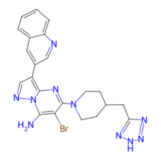 Nc1c(Br)c(N2CCC(Cc3nn[nH]n3)CC2)nc2c(-c3cnc4ccccc4c3)cnn12